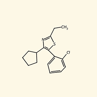 CCc1nc(C2CCCC2)c(-c2ccccc2Cl)s1